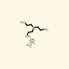 CCCN(CCC)CCC.O.O.O